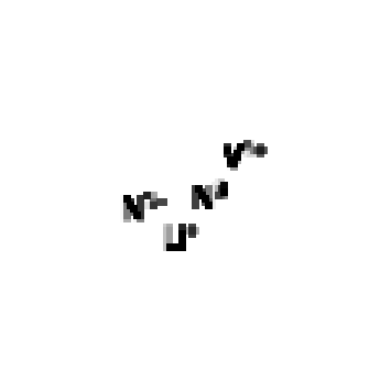 [Li+].[N-3].[N-3].[V+5]